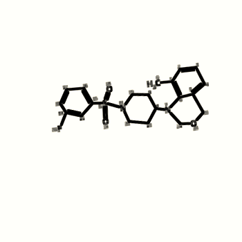 Cc1cccc2c1N(C1CCN(S(=O)(=O)c3cccc(F)c3)CC1)COC2